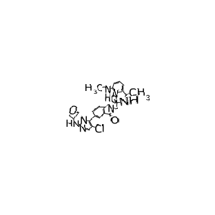 CCNc1cccc([C@@H](C)NC(=O)CN2Cc3ccc(-c4nc(NC5COC5)ncc4Cl)cc3C2=O)n1